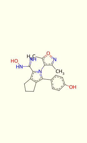 Cc1noc(C)c1-n1c(C(=N)NO)c2c(c1-c1ccc(O)cc1)CCC2